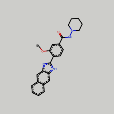 CCOc1cc(C(=O)NN2CCCCC2)ccc1-c1nc2cc3ccccc3cc2[nH]1